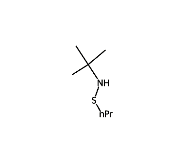 CCCSNC(C)(C)C